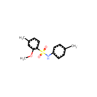 [CH2]c1ccc(NS(=O)(=O)c2ccc(C)cc2OC)cc1